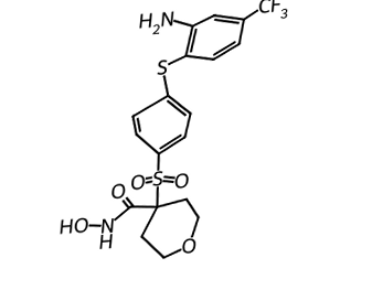 Nc1cc(C(F)(F)F)ccc1Sc1ccc(S(=O)(=O)C2(C(=O)NO)CCOCC2)cc1